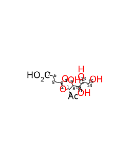 CC(=O)[C@H](OC(=O)CCC(=O)O)[C@@H](O)[C@H](O)[C@H](O)CO